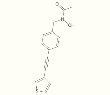 CC(=O)N(O)Cc1ccc(C#Cc2ccsc2)cc1